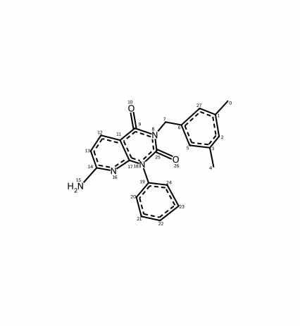 Cc1cc(C)cc(Cn2c(=O)c3ccc(N)nc3n(-c3ccccc3)c2=O)c1